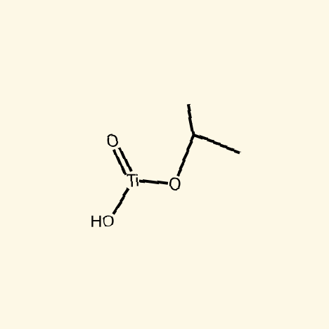 CC(C)[O][Ti](=[O])[OH]